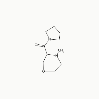 CN1CCOCC1C(=O)N1CCCC1